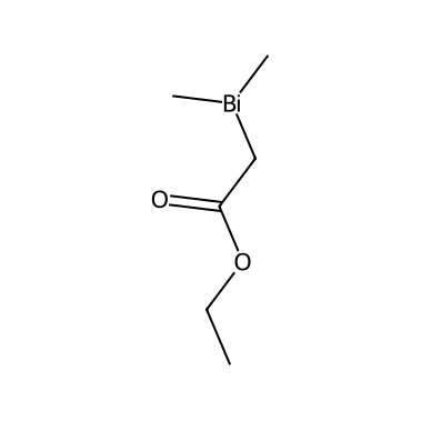 CCOC(=O)[CH2][Bi]([CH3])[CH3]